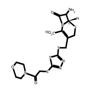 NC1C(=O)N2C(C(=O)O)=C(CSc3nnc(SCC(=O)N4CCOCC4)s3)CS[C@@H]12